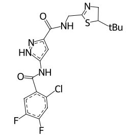 CC(C)(C)C1CN=C(CNC(=O)c2cc(NC(=O)c3cc(F)c(F)cc3Cl)[nH]n2)S1